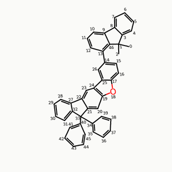 CC1(C)c2ccccc2-c2cccc(-c3ccc4oc5cc6c(cc5c4c3)-c3ccccc3C6(c3ccccc3)c3ccccc3)c21